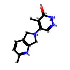 Cc1ccc2c(n1)CN(c1cn[nH]c(=O)c1C)C2